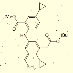 COC(=O)c1cc(C2CC2)ccc1NC(/C=C(/CC(=O)OC(C)(C)C)CC1CC1)=C/C=C/N